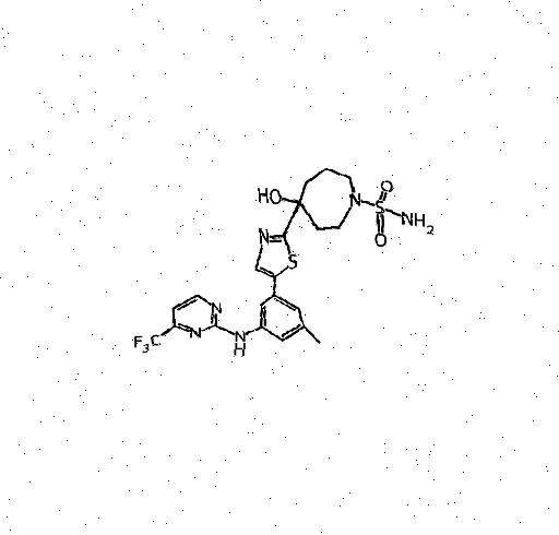 Cc1cc(Nc2nccc(C(F)(F)F)n2)cc(-c2cnc(C3(O)CCCN(S(N)(=O)=O)CC3)s2)c1